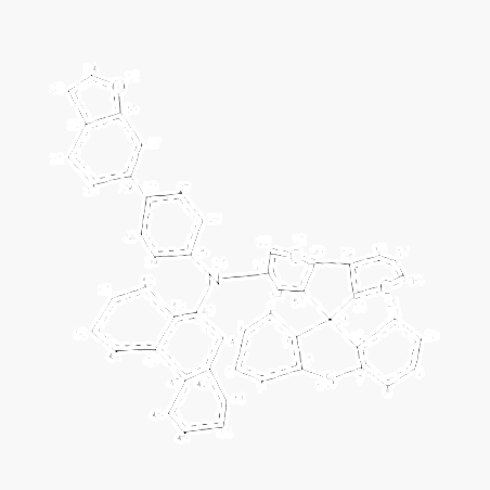 c1ccc2c(c1)Sc1ccccc1C21c2ccccc2-c2ccc(N(c3ccc(-c4ccc5ccoc5c4)cc3)c3cc4ccccc4c4ccccc34)cc21